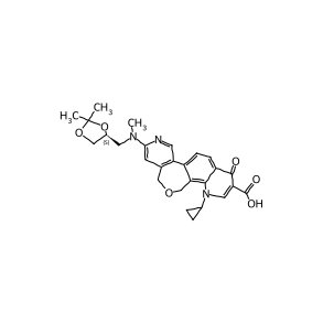 CN(C[C@H]1COC(C)(C)O1)c1cc2c(cn1)-c1ccc3c(=O)c(C(=O)O)cn(C4CC4)c3c1COC2